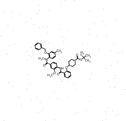 COc1cc(C(=O)N(C)c2ccc(C)cc2OCc2ccccc2)ccc1NC(=O)c1ccccc1OC1CCN(C(=O)OC(C)(C)C)CC1